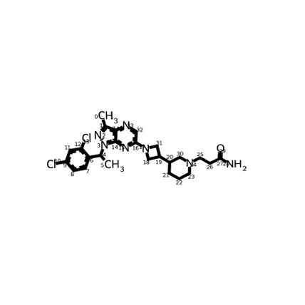 Cc1nn(C(C)c2ccc(Cl)cc2Cl)c2nc(N3CC(C4CCCN(CCC(N)=O)C4)C3)cnc12